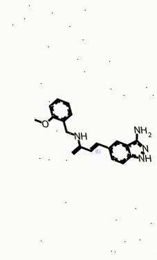 C=C(/C=C/c1ccc2[nH]nc(N)c2c1)NCc1ccccc1OC